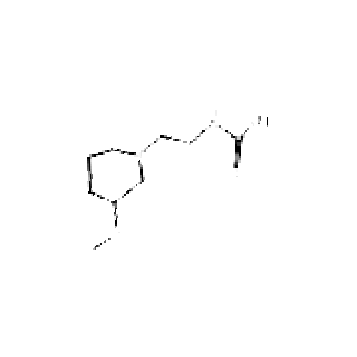 COC1CCCN(CCNC(=O)O)C1